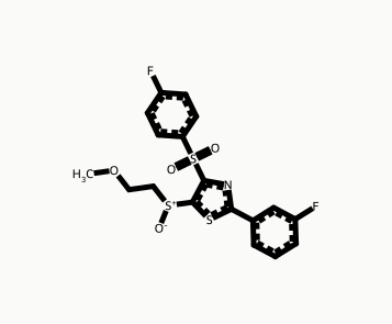 COCC[S+]([O-])c1sc(-c2cccc(F)c2)nc1S(=O)(=O)c1ccc(F)cc1